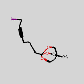 CC12COC(CCCC#CCI)(OC1)OC2